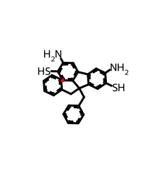 Nc1cc2c(cc1S)C(Cc1ccccc1)(Cc1ccccc1)c1cc(S)c(N)cc1-2